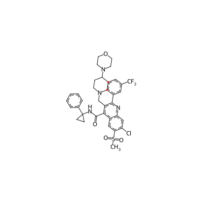 CS(=O)(=O)c1cc2c(C(=O)NC3(c4ccccc4)CC3)c(CN3CCC(N4CCOCC4)CC3)c(-c3cccc(C(F)(F)F)c3)nc2cc1Cl